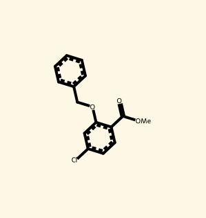 COC(=O)c1ccc(Cl)cc1OCc1ccccc1